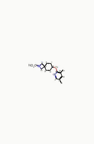 Cc1cnc(OC2CCC3(CC2)CN(C(=O)O)C3)c(C)c1